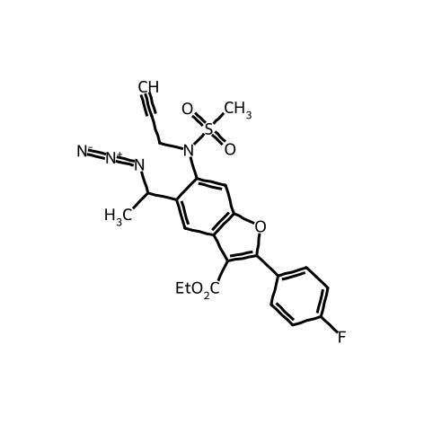 C#CCN(c1cc2oc(-c3ccc(F)cc3)c(C(=O)OCC)c2cc1C(C)N=[N+]=[N-])S(C)(=O)=O